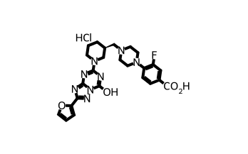 Cl.O=C(O)c1ccc(N2CCN(C[C@@H]3CCCN(c4nc(O)n5nc(-c6ccco6)nc5n4)C3)CC2)c(F)c1